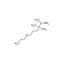 CCCOCCCS(C)(C)C(C)N